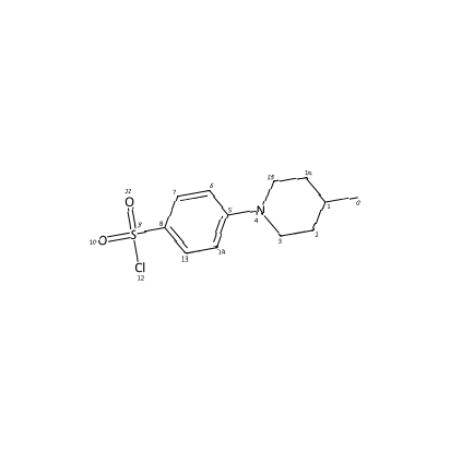 CC1CCN(c2ccc(S(=O)(=O)Cl)cc2)CC1